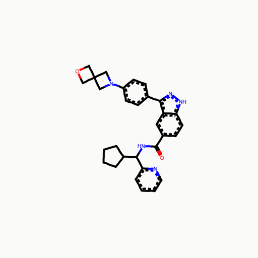 O=C(NC(c1ccccn1)C1CCCC1)c1ccc2[nH]nc(-c3ccc(N4CC5(COC5)C4)cc3)c2c1